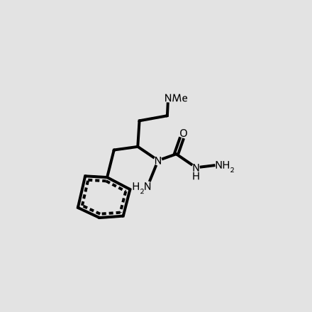 CNCCC(Cc1ccccc1)N(N)C(=O)NN